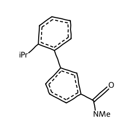 CNC(=O)c1cccc(-c2ccccc2C(C)C)c1